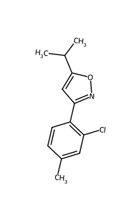 Cc1ccc(-c2cc(C(C)C)on2)c(Cl)c1